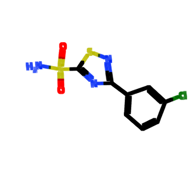 NS(=O)(=O)c1nc(-c2cccc(Cl)c2)ns1